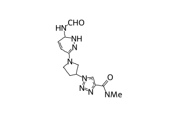 CNC(=O)c1cn(C2CCN(C3=NNC(NC=O)C=C3)C2)nn1